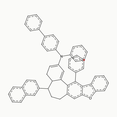 C1=C2c3c(cc4oc5ccccc5c4c3-c3ccccc3)CCC(c3ccc4ccccc4c3)C2CC=C1N(c1ccccc1)c1ccc(-c2ccccc2)cc1